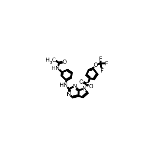 CC(=O)Nc1cccc(Nc2ncc3ccn(S(=O)(=O)c4ccc(OC(F)(F)F)cc4)c3n2)c1